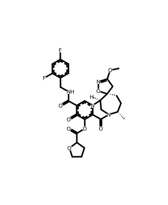 COC1=NO[C@@]2(CC[C@H](C)N3C[C@H]2n2cc(C(=O)NCc4ccc(F)cc4F)c(=O)c(OC(=O)C4CCCO4)c2C3=O)C1